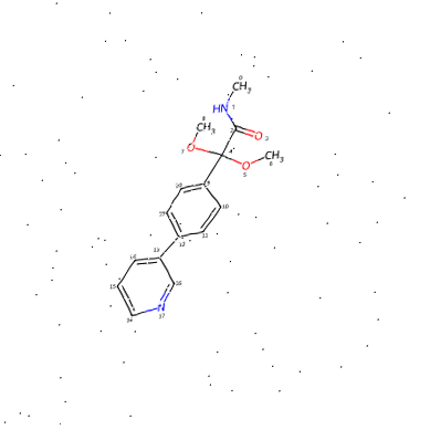 CNC(=O)C(OC)(OC)c1ccc(-c2cccnc2)cc1